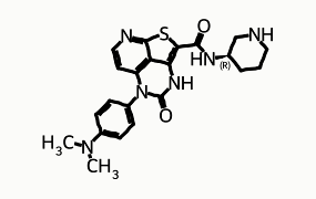 CN(C)c1ccc(N2C(=O)Nc3c(C(=O)N[C@@H]4CCCNC4)sc4nccc2c34)cc1